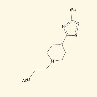 CC(=O)OCCN1CCN(c2nc(C(C)(C)C)cs2)CC1